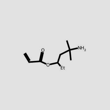 C=CC(=O)OC(CC)CC(C)(C)N